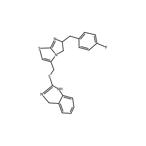 Fc1ccc(CC2CN3C(CSC4=NCc5ccccc5N4)=CSC3=N2)cc1